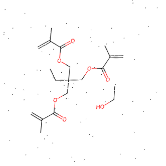 C=C(C)C(=O)OCC(CC)(COC(=O)C(=C)C)COC(=O)C(=C)C.CCO